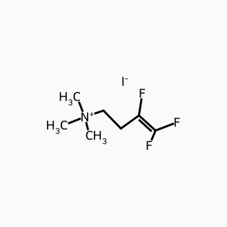 C[N+](C)(C)CCC(F)=C(F)F.[I-]